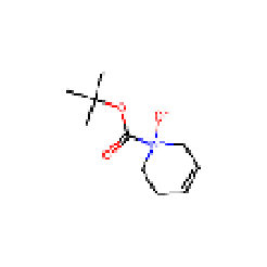 CC(C)(C)OC(=O)[N+]1([O-])CC=CCC1